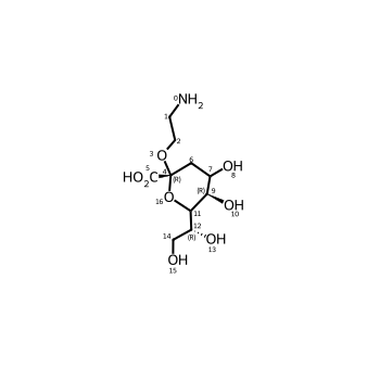 NCCO[C@]1(C(=O)O)CC(O)[C@@H](O)C([C@H](O)CO)O1